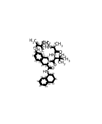 CN[C@@H](C)C(=O)N[C@H](C(=O)N1Cc2cc(OC(C)C(C)C)ccc2CC1C(=O)NC1CCCc2ccccc21)C(C)(C)C